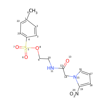 Cc1ccc(S(=O)(=O)OCCNC(=O)Cn2cccc2[N+](=O)[O-])cc1